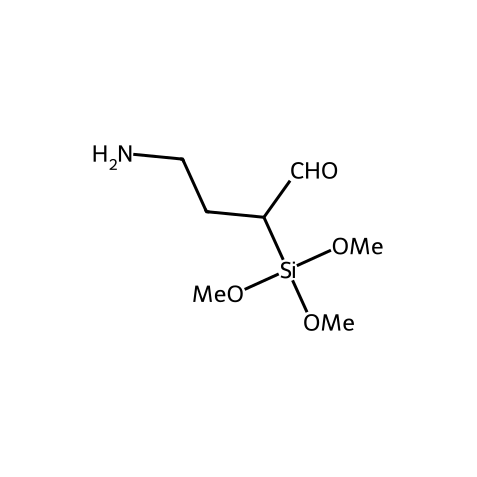 CO[Si](OC)(OC)C(C=O)CCN